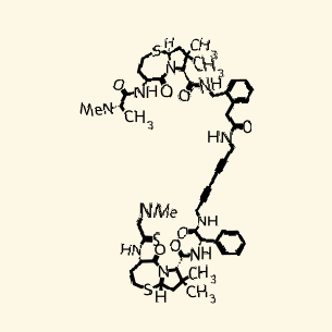 CNCC(=S)N[C@H]1CCS[C@H]2CC(C)(C)[C@@H](C(=O)N[C@H](C(=O)NCC#CC#CCNC(=O)Cc3ccccc3CNC(=O)[C@H]3N4C(=O)[C@@H](NC(=O)[C@H](C)NC)CCS[C@H]4CC3(C)C)c3ccccc3)N2C1=O